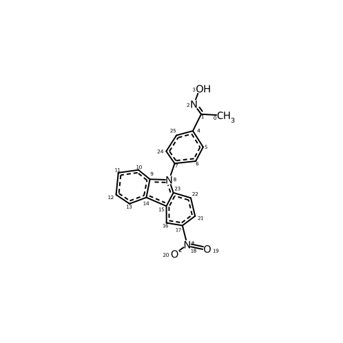 CC(=NO)c1ccc(-n2c3ccccc3c3cc([N+](=O)[O-])ccc32)cc1